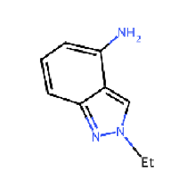 CCn1cc2c(N)cccc2n1